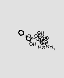 NP(=O)(O)OP(=O)(O)OP(=O)(O)OC[C@H]1O[C@@H](C2CCCC2)CC1O